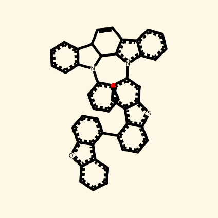 C1=CC2c3ccccc3N(c3ccccc3)C2c2c1c1ccccc1n2-c1ccc2c(c1)sc1cccc(-c3cccc4oc5ccccc5c34)c12